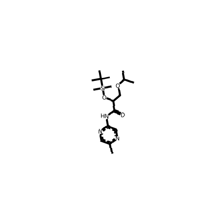 Cc1cnc(NC(=O)C(COC(C)C)O[Si](C)(C)C(C)(C)C)cn1